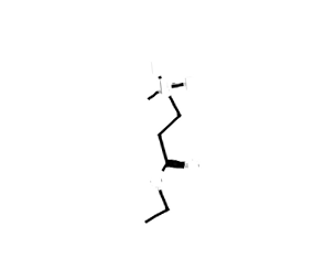 CCOC(=O)CC[B-](F)(F)F